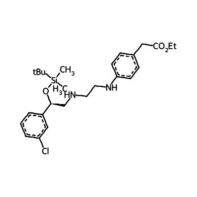 CCOC(=O)Cc1ccc(NCCNC[C@H](O[Si](C)(C)C(C)(C)C)c2cccc(Cl)c2)cc1